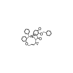 O=C1c2c(OCc3ccccc3)c(=O)ccn2N2CC1C1(/C=C/COc3ccccc3C2c2ccccc2)CC1